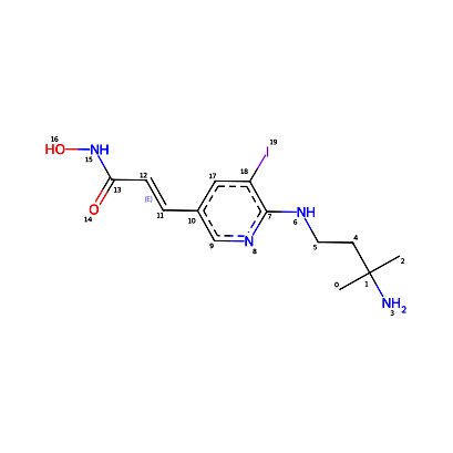 CC(C)(N)CCNc1ncc(/C=C/C(=O)NO)cc1I